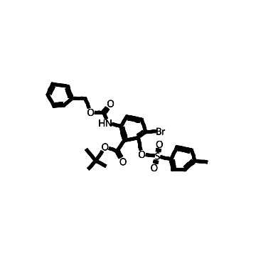 Cc1ccc(S(=O)(=O)Oc2c(Br)ccc(NC(=O)OCc3ccccc3)c2C(=O)OC(C)(C)C)cc1